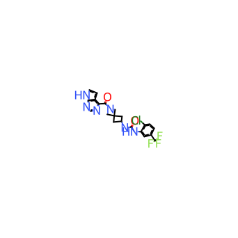 CN(C(=O)Nc1cc(C(F)(F)F)ccc1Cl)C1CC2(C1)CN(C(=O)c1ncnc3[nH]ccc13)C2